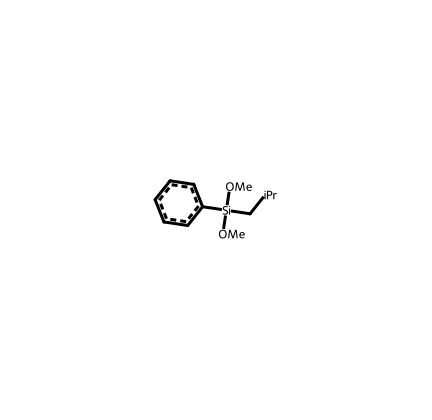 [CH2]C(C)C[Si](OC)(OC)c1ccccc1